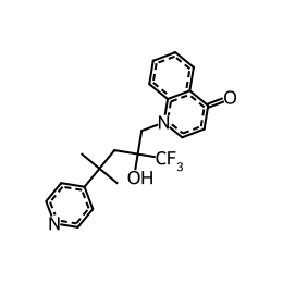 CC(C)(CC(O)(Cn1ccc(=O)c2ccccc21)C(F)(F)F)c1ccncc1